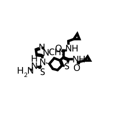 Cn1nccc1N(C(=S)NN)[C@H]1CCc2sc(NC(=O)C3CC3)c(C(=O)NCC3CC3)c2C1